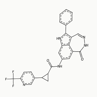 O=C1NN=Cc2c(-c3ccccc3)[nH]c3cc(NC(=O)C4CC4c4ccc(C(F)(F)F)nc4)cc1c23